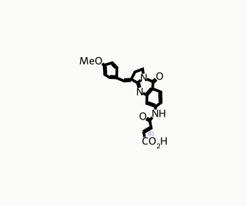 COc1ccc(C=C2CCn3c2nc2cc(NC(=O)/C=C/C(=O)O)ccc2c3=O)cc1